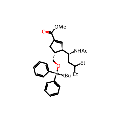 CCC(CC)C[C@H](NC(C)=O)[C@@H]1C=C(C(=O)OC)C[C@H]1CO[Si](c1ccccc1)(c1ccccc1)C(C)(C)C